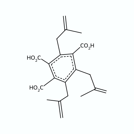 C=C(C)Cc1c(CC(=C)C)c(C(=O)O)c(C(=O)O)c(CC(=C)C)c1C(=O)O